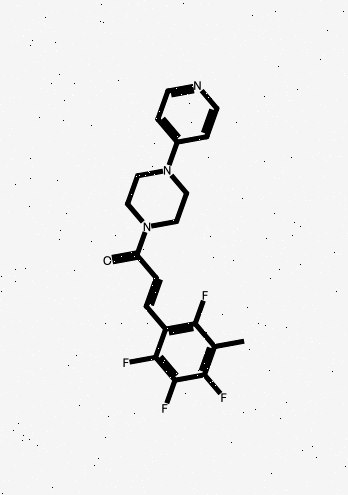 Cc1c(F)c(F)c(F)c(C=CC(=O)N2CCN(c3ccncc3)CC2)c1F